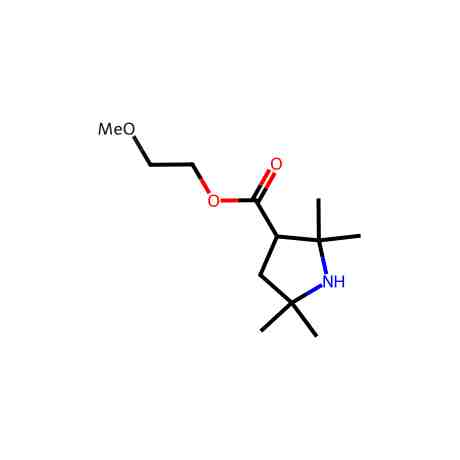 COCCOC(=O)C1CC(C)(C)NC1(C)C